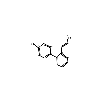 O=C/C=C/c1ccccc1-c1ccc(Cl)cc1